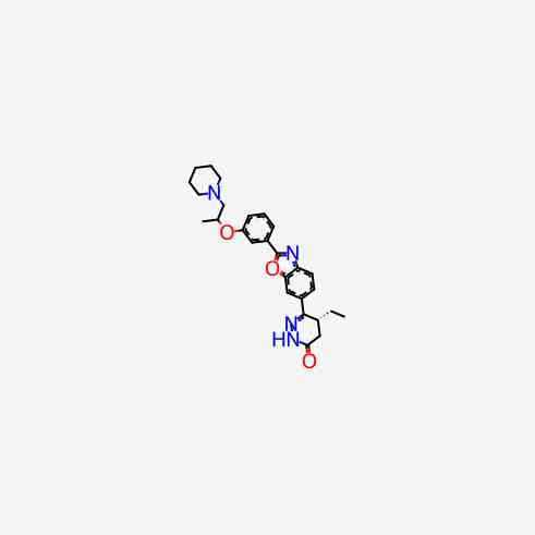 CC[C@@H]1CC(=O)NN=C1c1ccc2nc(-c3cccc(OC(C)CN4CCCCC4)c3)oc2c1